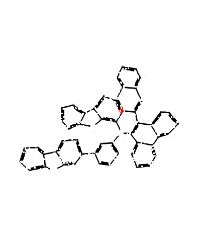 c1cc(-c2ccc3c(c2)oc2ccccc23)cc(N(c2c(-c3ccc4ccccc4c3)c3ccccc3c3ccccc23)c2cccc3c2sc2ccccc23)c1